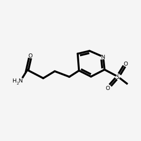 CS(=O)(=O)c1cc(CCCC(N)=O)ccn1